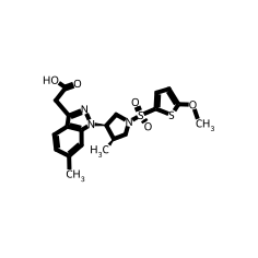 COc1ccc(S(=O)(=O)N2C[C@@H](C)[C@@H](n3nc(CC(=O)O)c4ccc(C)cc43)C2)s1